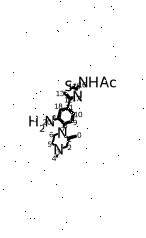 C=C1CN(C)CCN1c1ccc(-c2csc(NC(C)=O)n2)cc1N